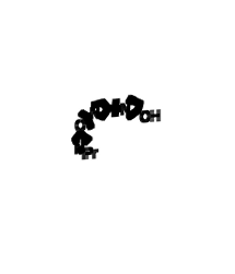 CC(C)N1CC(OC(C)(C)N2CCC(C(C)(C)N3CC[C@H](O)C3)C2)C1